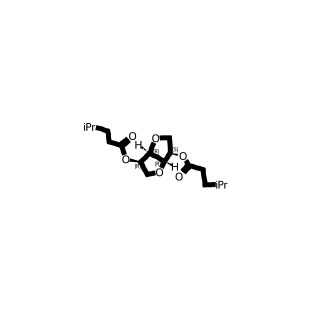 CC(C)CCC(=O)O[C@H]1CO[C@H]2[C@@H]1OC[C@H]2OC(=O)CCC(C)C